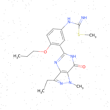 CCCOc1ccc(NC(=N)SC)cc1-c1nc2c(CC)nn(C)c2c(=O)[nH]1